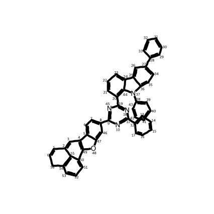 C1=Cc2cc3c4ccc(-c5nc(-c6ccccc6)nc(-c6cccc7c8cc(-c9ccccc9)ccc8n(-c8ccccc8)c67)n5)cc4oc3c3cccc(c23)C1